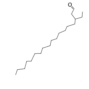 CCCCCCCCCCCCCCCC(CC)CC=O